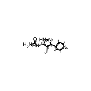 Cc1c(-c2ccncc2)n[nH]c1NC(N)=O